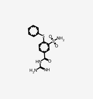 N=C(N)NC(=O)c1ccc(Sc2ccccc2)c(S(N)(=O)=O)c1